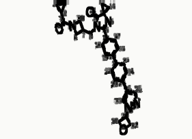 O=C(C1CC1)N1CC(CN2C(=O)C3(CC3)N=C2c2ccc(-c3ccc(-c4cnn(C5COC5)c4)cc3)cc2)C1